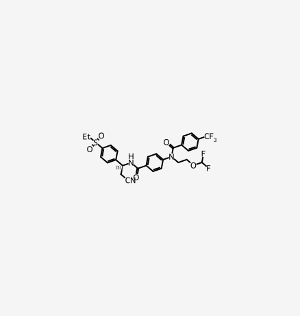 CCS(=O)(=O)c1ccc([C@H](CC#N)NC(=O)c2ccc(N(CCOC(F)F)C(=O)c3ccc(C(F)(F)F)cc3)cc2)cc1